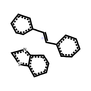 C(=C\c1ccccc1)/c1ccccc1.c1ccc2scnc2c1